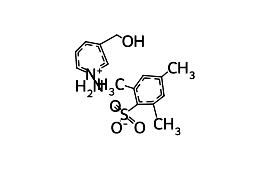 Cc1cc(C)c(S(=O)(=O)[O-])c(C)c1.N[n+]1cccc(CO)c1